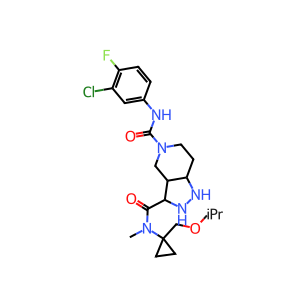 CC(C)OCC1(N(C)C(=O)C2NNC3CCN(C(=O)Nc4ccc(F)c(Cl)c4)CC32)CC1